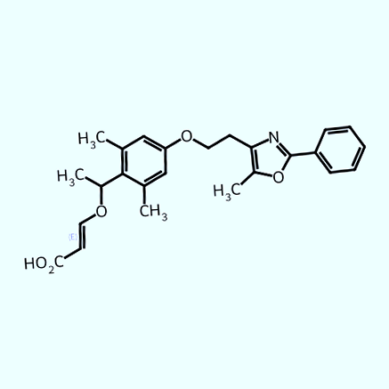 Cc1cc(OCCc2nc(-c3ccccc3)oc2C)cc(C)c1C(C)O/C=C/C(=O)O